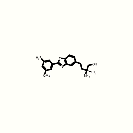 COc1cc(P)cc(-c2nc3cc(CC[C@@](C)(N)CO)ccc3o2)c1